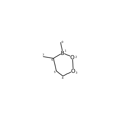 CB1OOCCC1C